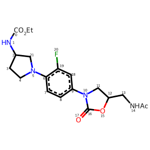 CCOC(=O)NC1CCN(c2ccc(N3CC(CNC(C)=O)OC3=O)cc2F)C1